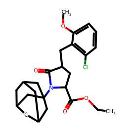 CCOC(=O)C1CC(Cc2c(Cl)cccc2OC)C(=O)N1C12CC3CC(CC(C3)C1)C2